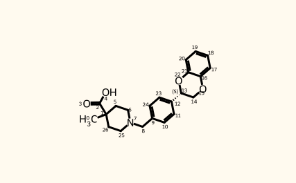 CC1(C(=O)O)CCN(Cc2ccc([C@H]3COc4ccccc4O3)cc2)CC1